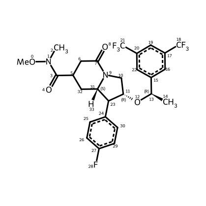 CON(C)C(=O)C1CC(=O)N2C[C@H](O[C@H](C)c3cc(C(F)(F)F)cc(C(F)(F)F)c3)C(c3ccc(F)cc3)[C@@H]2C1